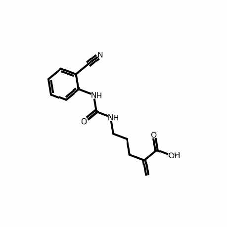 C=C(CCCNC(=O)Nc1ccccc1C#N)C(=O)O